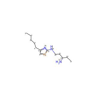 CCCCCc1csc(NCCC(N)CC)n1